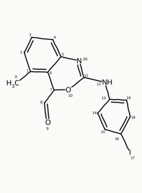 Cc1cccc2c1C(C=O)OC(Nc1ccc(I)cc1)=N2